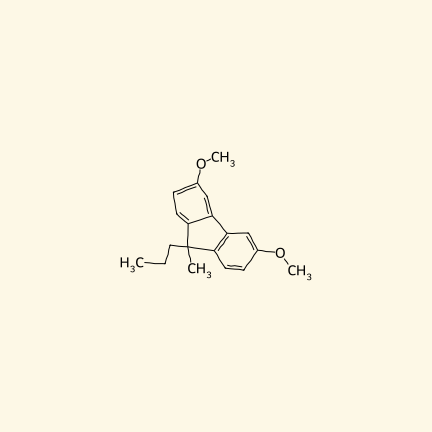 CCCC1(C)c2ccc(OC)cc2-c2cc(OC)ccc21